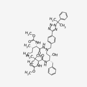 CC[C@H](C)[C@H](NC(=O)OC)C(=O)NN(Cc1ccc(-c2nnn(C(C)(C)c3ccccc3)n2)cc1)C[C@H](O)[C@H](Cc1ccccc1)NC(=O)[C@@H](NC(=O)OC)C(C)(C)C